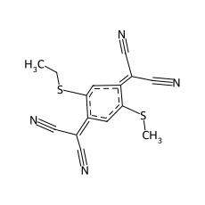 CCSc1cc(=C(C#N)C#N)c(SC)cc1=C(C#N)C#N